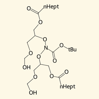 CCCCCCCC(=O)OCC(COCO)ON(OC(COCO)COC(=O)CCCCCCC)C(=O)OC(C)(C)C